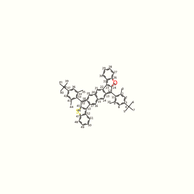 Cc1cc(C(C)(C)C)cc(C)c1C1=c2cc3cc4c(cc3cc2-c2c1oc1ccccc21)=C(c1c(C)cc(C(C)(C)C)cc1C)c1sc2ccccc2c1-4